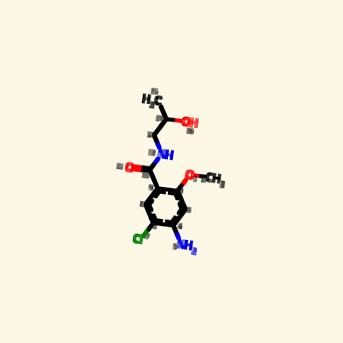 COc1cc(N)c(Cl)cc1C(=O)NCC(C)O